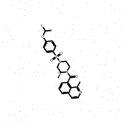 Cc1nccc2cccc(C(=O)N3CCN(S(=O)(=O)c4ccc(OC(F)F)cc4)C[C@@H]3C)c12